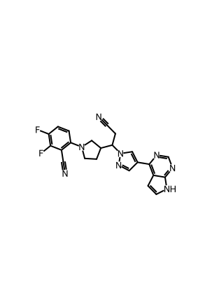 N#CCC(C1CCN(c2ccc(F)c(F)c2C#N)C1)n1cc(-c2ncnc3[nH]ccc23)cn1